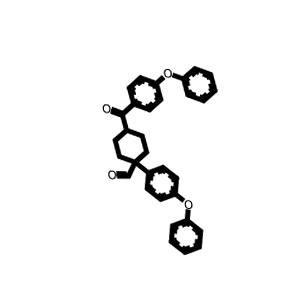 O=CC1(c2ccc(Oc3ccccc3)cc2)CCC(C(=O)c2ccc(Oc3ccccc3)cc2)CC1